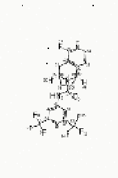 O=C(Nc1cc(C(F)(F)F)cc(C(F)(F)F)c1)N1[C@H]2CC[C@@H]1c1ccnc(F)c1C2